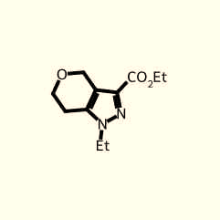 CCOC(=O)c1nn(CC)c2c1COCC2